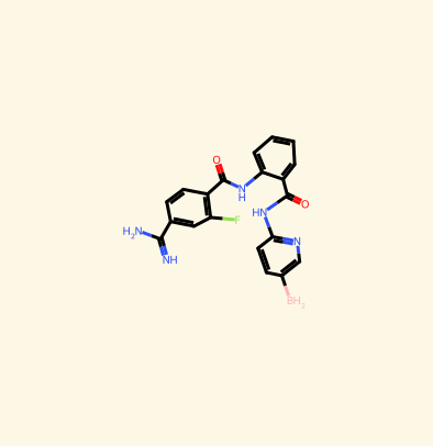 Bc1ccc(NC(=O)c2ccccc2NC(=O)c2ccc(C(=N)N)cc2F)nc1